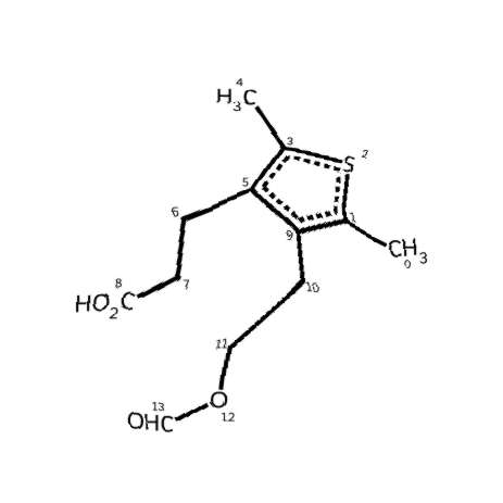 Cc1sc(C)c(CCC(=O)O)c1CCOC=O